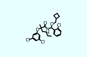 CCCCC(C)(Oc1cc(Cl)cc(Cl)c1)C(=O)NC(OCC1CCC1)c1ccccc1Cl